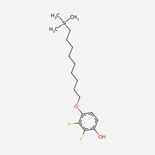 C[Si](C)(C)CCCCCCCCCOc1ccc(O)c(F)c1F